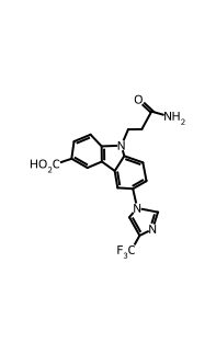 NC(=O)CCn1c2ccc(C(=O)O)cc2c2cc(-n3cnc(C(F)(F)F)c3)ccc21